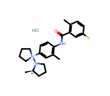 Cc1cc([N+]2(N3CCC[C@H]3C)CCCC2)ccc1NC(=O)c1cc(F)ccc1C.Cl